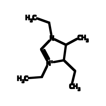 CCC1C(C)N(CC)C=[N+]1CC